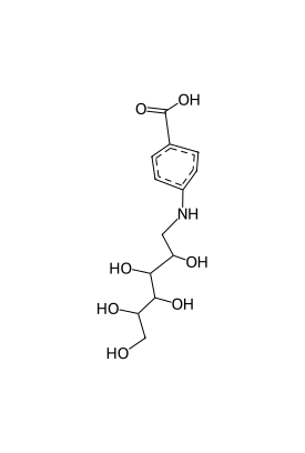 O=C(O)c1ccc(NCC(O)C(O)C(O)C(O)CO)cc1